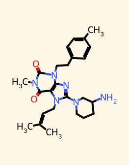 CC(C)=CCn1c(N2CCCC(N)C2)nc2c1c(=O)n(C)c(=O)n2CCc1ccc(C)cc1